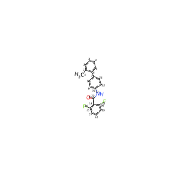 Cc1ccccc1-c1ccc(NC(=O)c2c(F)cccc2F)cc1